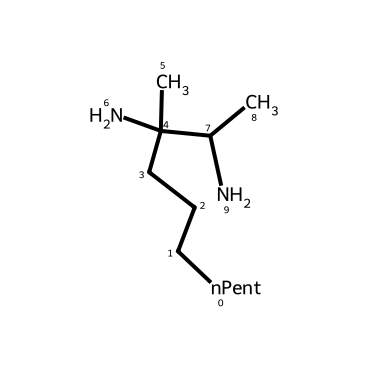 CCCCCCCCC(C)(N)C(C)N